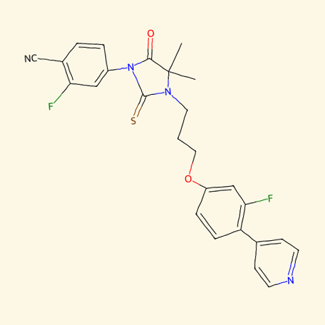 CC1(C)C(=O)N(c2ccc(C#N)c(F)c2)C(=S)N1CCCOc1ccc(-c2ccncc2)c(F)c1